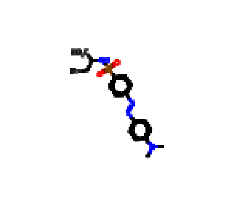 CC(C)CC(NS(=O)(=O)c1ccc(N=Nc2ccc(N(C)C)cc2)cc1)C(=O)O